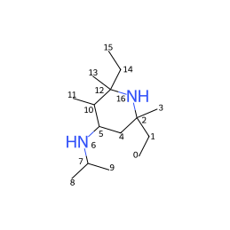 CCC1(C)CC(NC(C)C)C(C)C(C)(CC)N1